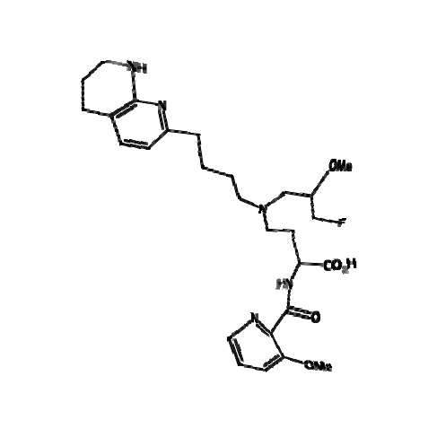 COc1cccnc1C(=O)NC(CCN(CCCCc1ccc2c(n1)NCCC2)CC(CF)OC)C(=O)O